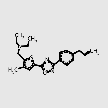 C=CCc1ccc(-c2noc(-c3cc(C)c(CN(CC)CC)s3)n2)cc1